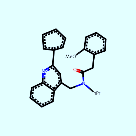 CCCN(Cc1cc(-c2ccccc2)nc2ccccc12)C(=O)Cc1ccccc1OC